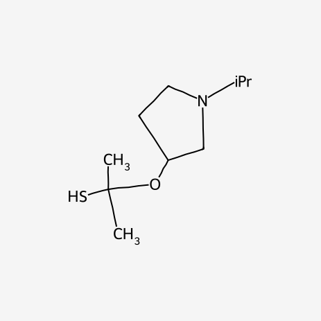 CC(C)N1CCC(OC(C)(C)S)C1